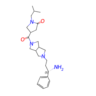 CC(C)CN1CC(C(=O)N2CC3CN(CC[C@H](N)c4ccccc4)CC3C2)CC1=O